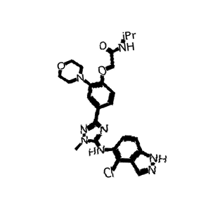 CC(C)NC(=O)COc1ccc(-c2nc(Nc3ccc4[nH]ncc4c3Cl)n(C)n2)cc1N1CCOCC1